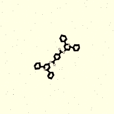 O=C(Oc1cc(-c2ccccc2)nc(-c2ccccc2)c1)c1ccc(C(=O)Oc2cc(-c3ccccc3)nc(-c3ccccc3)c2)cc1